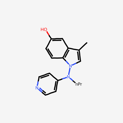 CCCN(c1ccncc1)n1cc(C)c2cc(O)ccc21